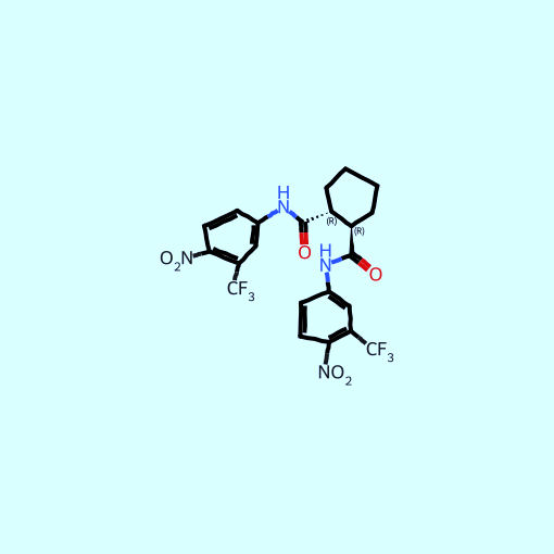 O=C(Nc1ccc([N+](=O)[O-])c(C(F)(F)F)c1)[C@@H]1CCCC[C@H]1C(=O)Nc1ccc([N+](=O)[O-])c(C(F)(F)F)c1